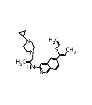 C=CS/C(=C\C)c1ccc2cnc(NC(=C)CN3CCN(C4CC4)CC3)cc2c1